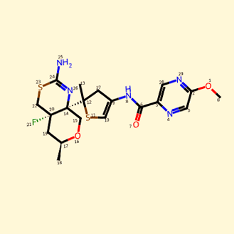 COc1cnc(C(=O)NC2=CSC(C)([C@]34CO[C@@H](C)C[C@@]3(F)CSC(N)=N4)C2)cn1